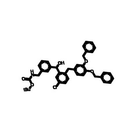 CC(C)(C)OC(=O)NCc1cccc(C(O)c2cc(Cl)ccc2Cc2ccc(OCc3ccccc3)c(OCc3ccccc3)c2)c1